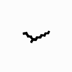 CCCCCCCC=C(C)CCCC